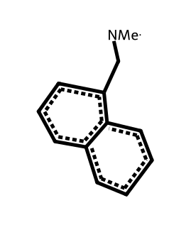 C[N]Cc1cccc2ccccc12